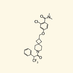 CN(C)C(=O)c1ccc(OCC2CC3(CCN(C(=O)C(c4ccccc4)C(F)(F)F)CC3)C2)cc1Cl